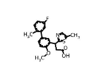 COc1ccc(-c2cc(F)ccc2C)cc1C(CC(=O)O)c1ncc(C)s1